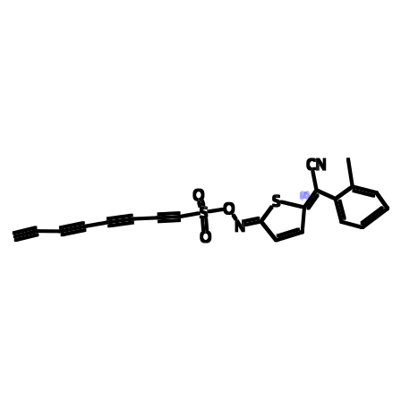 C#CC#CC#CC#CS(=O)(=O)ON=C1C=C/C(=C(/C#N)c2ccccc2C)S1